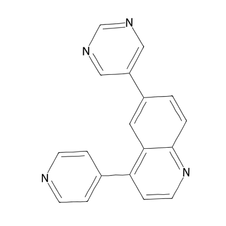 c1cc(-c2ccnc3ccc(-c4cncnc4)cc23)ccn1